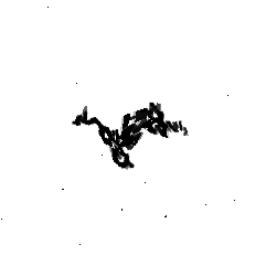 C[C@H]1CC[C@H](c2ccc(CCN(C)I)cc2)N(C(=O)C(=O)Nc2cnc(N)c3cn[nH]c23)C1